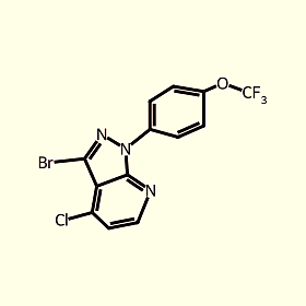 FC(F)(F)Oc1ccc(-n2nc(Br)c3c(Cl)ccnc32)cc1